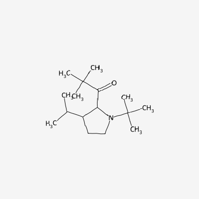 CC(C)C1CCN(C(C)(C)C)C1C(=O)C(C)(C)C